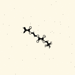 C=C(C)C(=O)OCCOC(=O)C(=O)OCC(F)(F)F